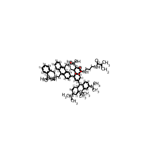 C=C(C)C(=O)NCCCNC(=O)c1cc(C2=C3C=CC(=[N+](C)C)C=C3[Si](C)(C)c3cc(N(C)C)ccc32)cc(-c2ccc3c(CN(C)Cc4ccccc4B(O)O)c4ccccc4c(CN(C)Cc4ccccc4B(O)O)c3c2)c1